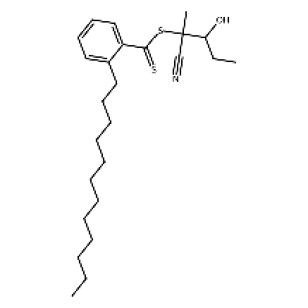 CCCCCCCCCCCCc1ccccc1C(=S)SC(C)(C#N)C(O)CC